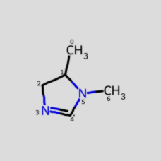 CC1CN=[C]N1C